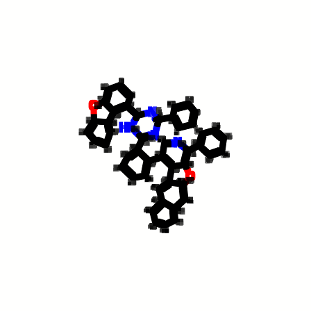 c1ccc(C2=NC(c3cccc4oc5ccccc5c34)NC(c3ccccc3-c3cnc(-c4ccccc4)c4oc5cc6ccccc6cc5c34)=N2)cc1